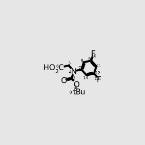 CC(C)(C)OC(=O)N(CC(=O)O)c1cc(F)cc(F)c1